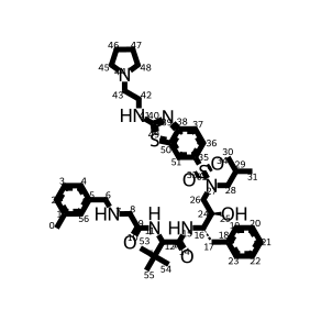 Cc1cccc(CNCC(=O)NC(C(=O)N[C@@H](Cc2ccccc2)[C@H](O)CN(CC(C)C)S(=O)(=O)c2ccc3nc(NCCN4CCCC4)sc3c2)C(C)(C)C)c1